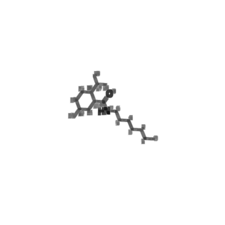 CCCCCCCNC(=O)C1CC(C)CCC1C(C)C